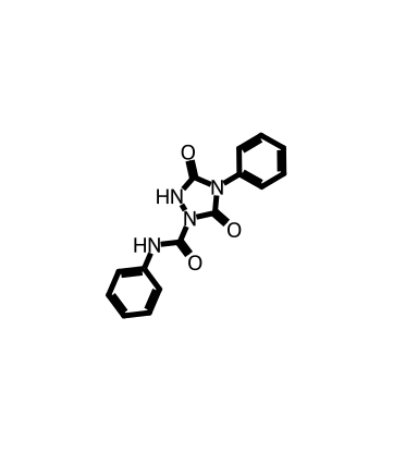 O=C(Nc1ccccc1)n1[nH]c(=O)n(-c2ccccc2)c1=O